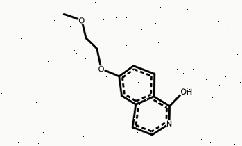 COCCOc1ccc2c(O)nccc2c1